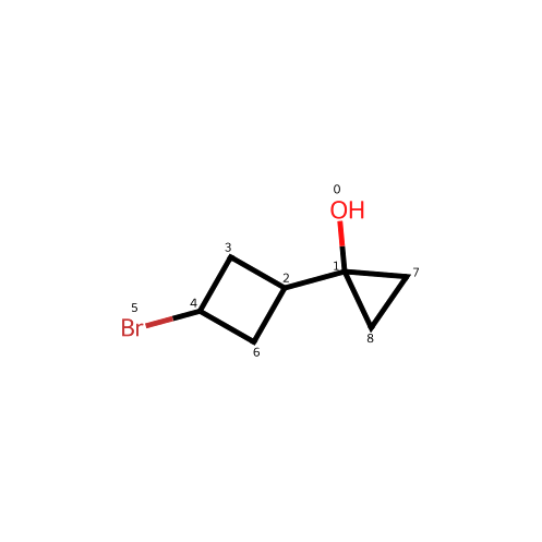 OC1(C2CC(Br)C2)CC1